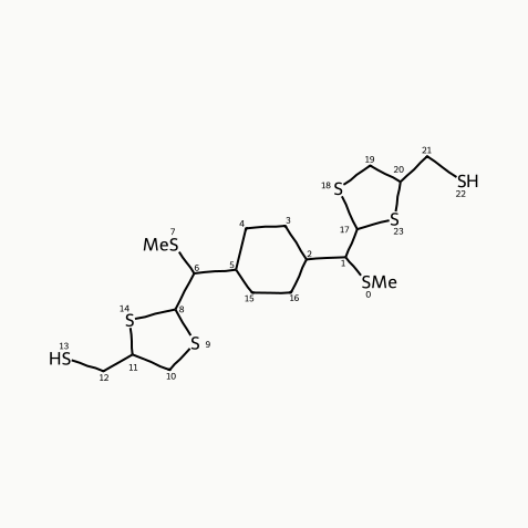 CSC(C1CCC(C(SC)C2SCC(CS)S2)CC1)C1SCC(CS)S1